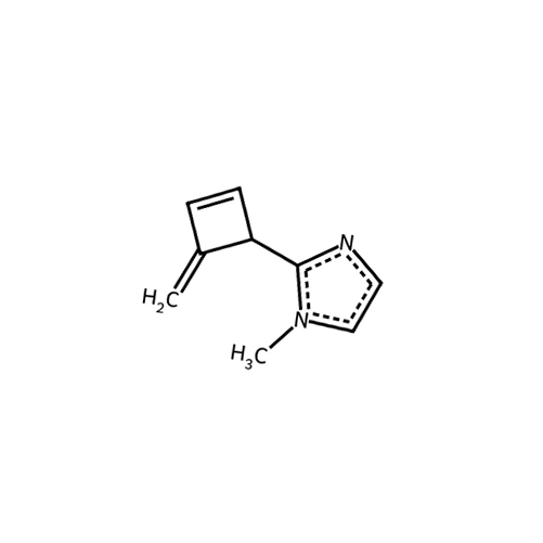 C=C1C=CC1c1nccn1C